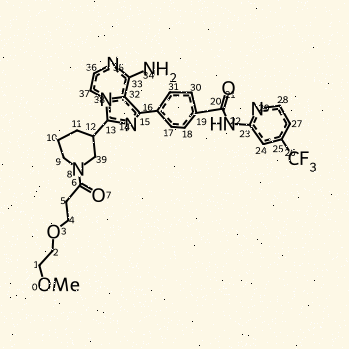 COCCOCCC(=O)N1CCCC(c2nc(-c3ccc(C(=O)Nc4cc(C(F)(F)F)ccn4)cc3)c3c(N)nccn23)C1